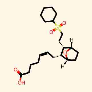 O=C(O)CCC/C=C\C[C@@H]1[C@H](CCS(=O)(=O)C2CCCCC2)[C@@H]2CC[C@H]1O2